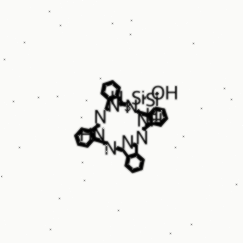 O[SiH]([SiH3])c1cccc2c3nc4nc(nc5[nH]c(nc6nc(nc([nH]3)c12)-c1ccccc1-6)c1ccccc51)-c1ccccc1-4